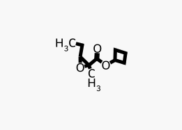 CCC1OC1(C)C(=O)OC1CCC1